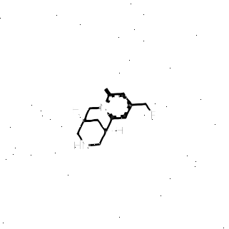 O=c1cc(CF)cc2n1C[C@@H]1CNC[C@H]2C1